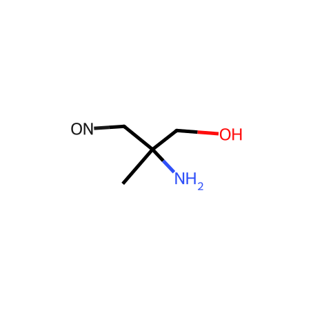 CC(N)(CO)CN=O